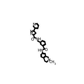 CN1CCc2ccc(NC(=O)c3cccc(CNC(=O)C4=NN=C(c5cccnc5)C4)c3)cc2C1